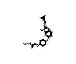 CC(=O)N[C@@H](C)CO[C@H]1CC[C@H](Oc2ccc3nc(OCC4CC4)n(C)c3n2)CC1